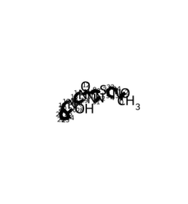 CC(=O)N1CCC(Sc2cc(C(=O)N3CC[C@@H](N4CCc5ccccc5C4)[C@H](O)C3)ncn2)CC1